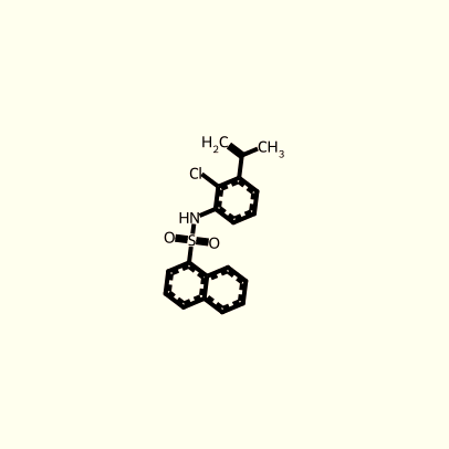 C=C(C)c1cccc(NS(=O)(=O)c2cccc3ccccc23)c1Cl